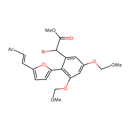 COCOc1cc(OCOC)c(-c2ccc(C=CC(C)=O)o2)c(C(Br)C(=O)OC)c1